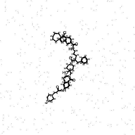 CN1CCN(CCC(=O)Nc2ccc3c(=O)n(CC4(O)CCN(C(=O)C(CCCNC(=O)c5ccc6c(Cl)c7c(nc6c5)CCCCC7)Cc5ccccc5)CC4)cnc3c2)CC1